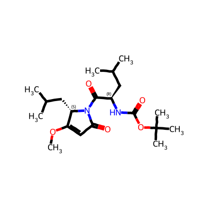 COC1=CC(=O)N(C(=O)[C@@H](CC(C)C)NC(=O)OC(C)(C)C)[C@H]1CC(C)C